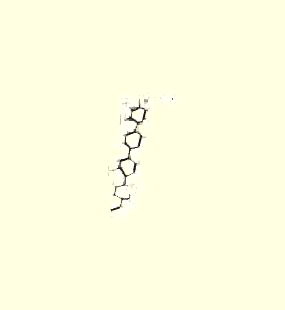 C=CC1CCC(c2ccc(-c3ccc(-c4ccc(CCCCCC)c(F)c4F)cc3)cc2F)OC1